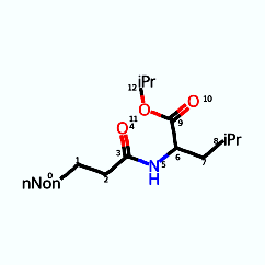 CCCCCCCCCCCC(=O)NC(CC(C)C)C(=O)OC(C)C